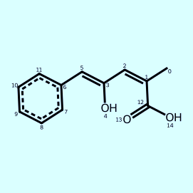 CC(=CC(O)=Cc1ccccc1)C(=O)O